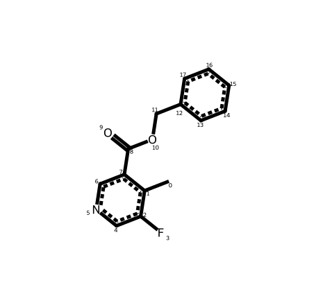 Cc1c(F)cncc1C(=O)OCc1ccccc1